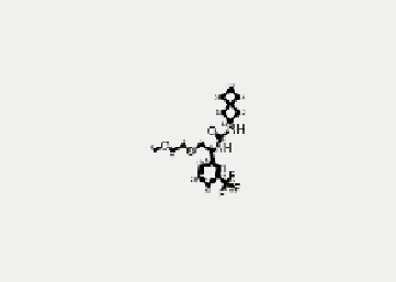 COCCOCC(NC(=O)NC1CC2(CCC2)C1)c1cccc(C(F)(F)F)c1